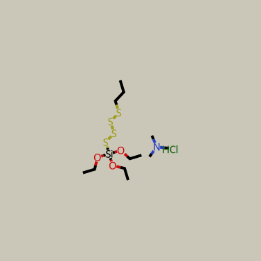 CCCSSSS[Si](OCC)(OCC)OCC.CN(C)C.Cl